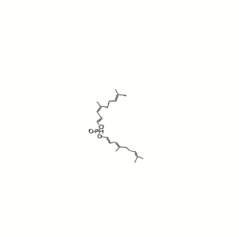 CC(C)=CCCC(C)=CC=CO[PH](=O)OC=C/C=C(\C)CCC=C(C)C